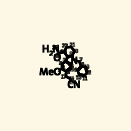 COc1cc2c3c(n(Cc4ccccc4)c2cc1CCC#N)CCCC3C(N)=O